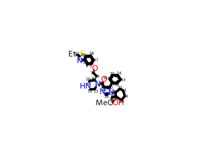 CCc1nc2cc(OCC[C@@H]3CNCCN3C(=O)c3ncn([C@@H]4CCCC[C@@]4(O)COC)c3-c3ccccc3)ccc2s1